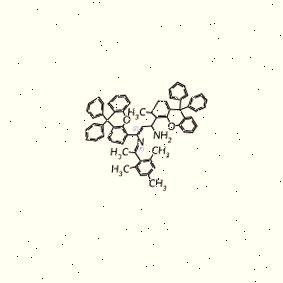 C/C(=N\C(=C/C(N)C1=C2Oc3ccccc3C(c3ccccc3)(c3ccccc3)C2=CCC1C)c1cccc2c1Oc1ccccc1C2(c1ccccc1)c1ccccc1)c1c(C)cc(C)cc1C